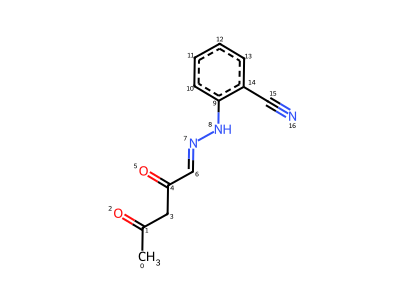 CC(=O)CC(=O)C=NNc1ccccc1C#N